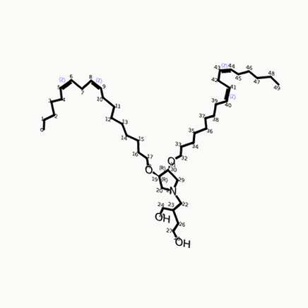 CCCCC/C=C\C/C=C\CCCCCCCCO[C@@H]1CN(CC(CO)CCO)C[C@H]1OCCCCCCCC/C=C\C/C=C\CCCCC